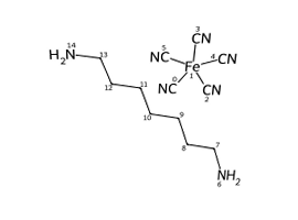 N#[C][Fe]([C]#N)([C]#N)([C]#N)[C]#N.NCCCCCCCN